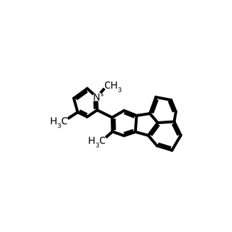 Cc1cc[n+](C)c(-c2cc3c(cc2C)-c2cccc4cccc-3c24)c1